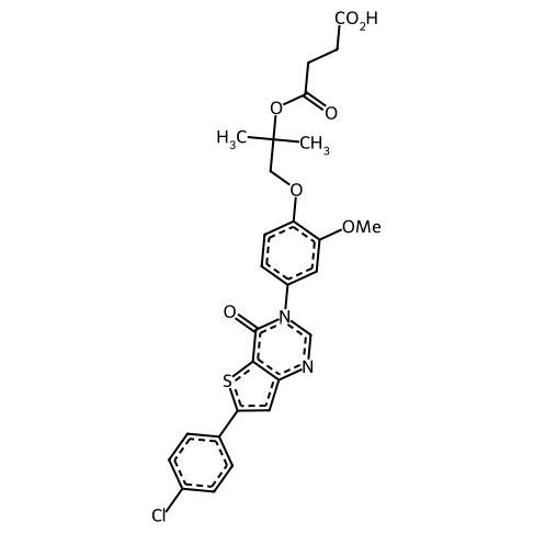 COc1cc(-n2cnc3cc(-c4ccc(Cl)cc4)sc3c2=O)ccc1OCC(C)(C)OC(=O)CCC(=O)O